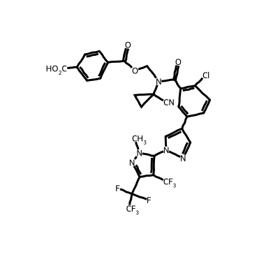 Cn1nc(C(F)(F)C(F)(F)F)c(C(F)(F)F)c1-n1cc(-c2ccc(Cl)c(C(=O)N(COC(=O)c3ccc(C(=O)O)cc3)C3(C#N)CC3)c2)cn1